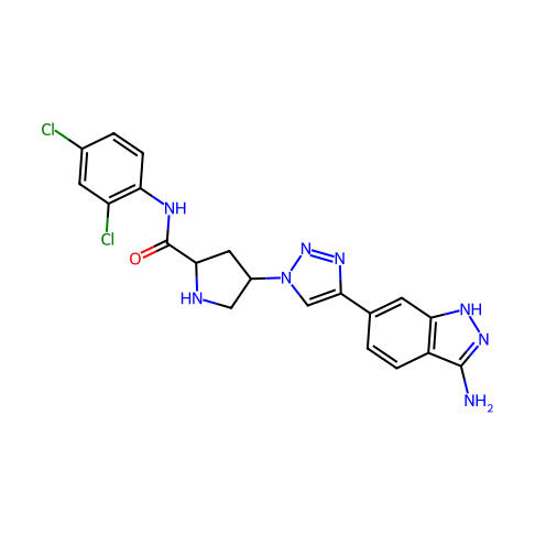 Nc1n[nH]c2cc(-c3cn(C4CNC(C(=O)Nc5ccc(Cl)cc5Cl)C4)nn3)ccc12